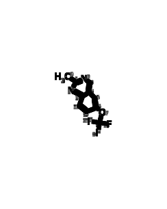 Cc1ncc2cc(OC(F)(F)F)ccc2n1